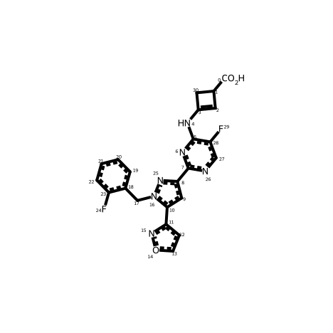 O=C(O)C1C=C(Nc2nc(-c3cc(-c4ccon4)n(Cc4ccccc4F)n3)ncc2F)C1